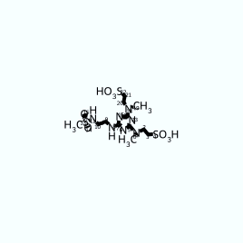 CN(CCS(=O)(=O)O)c1nc(NCCNS(C)(=O)=O)nc(N(C)CCS(=O)(=O)O)n1